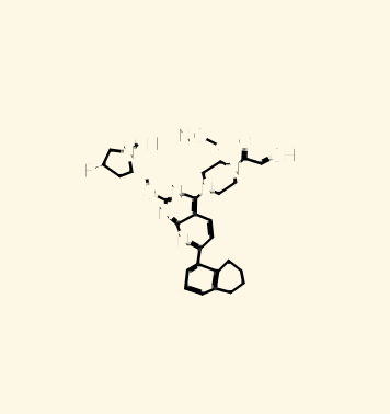 C=CC(=O)N1CCN(c2nc(OC[C@@H]3C[C@@H](F)CN3C)nc3nc(-c4cccc5c4CCCC5)ccc23)C[C@@H]1CC#N